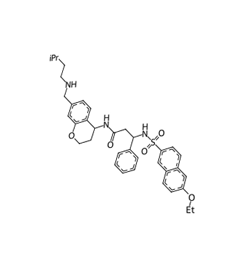 CCOc1ccc2cc(S(=O)(=O)NC(CC(=O)NC3CCOc4cc(CNCCC(C)C)ccc43)c3ccccc3)ccc2c1